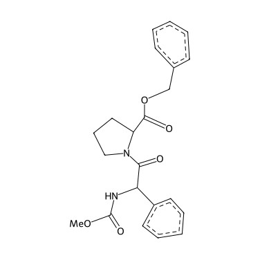 COC(=O)NC(C(=O)N1CCCC1C(=O)OCc1ccccc1)c1ccccc1